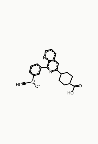 C#C[S+]([O-])c1cccc(-c2nc(C3CCC(C(=O)O)CC3)cc3cccnc23)c1